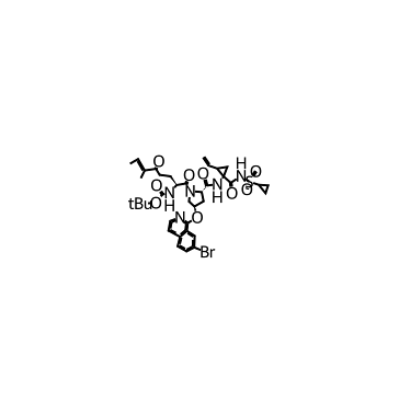 C=CC1C[C@]1(NC(=O)[C@@H]1C[C@@H](Oc2nccc3ccc(Br)cc23)CN1C(=O)[C@H](CCC(=O)/C(C)=C/C)NC(=O)OC(C)(C)C)C(=O)NS(=O)(=O)C1CC1